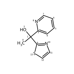 CC(O)(c1ccccn1)c1nccs1